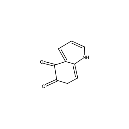 O=C1CC=C2NC=CC=C2C1=O